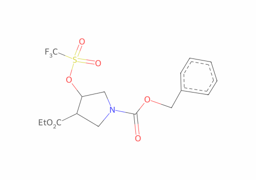 CCOC(=O)C1CN(C(=O)OCc2ccccc2)CC1OS(=O)(=O)C(F)(F)F